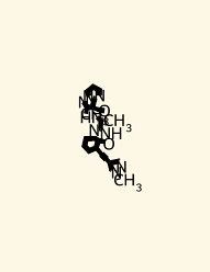 Cc1nn2cccnc2c1C(=O)N[C@H](C)c1nc2cccc(C#Cc3cnn(C)c3)c2c(=O)[nH]1